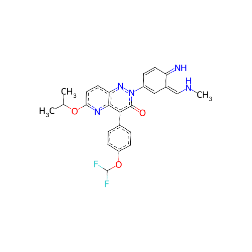 CN/C=C1/C=C(n2nc3ccc(OC(C)C)nc3c(-c3ccc(OC(F)F)cc3)c2=O)C=CC1=N